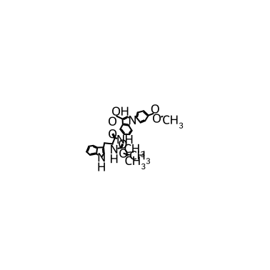 CCOC(=O)c1ccc(-n2cc(C(=O)O)c3cc(NC(=O)C(Cc4c[nH]c5ccccc45)NC(=O)OC(C)(C)C)ccc32)cc1